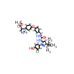 COC(=O)c1cnc2sc3cc(Oc4ccc(CNC(=O)Nc5cc(C(C)(C)C)nn5-c5ccc(O)c(Cl)c5)cc4)ccc3n12